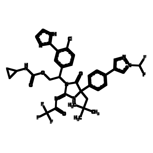 CC(C)(C)CC1(c2ccc(-c3cnn(C(F)F)c3)cc2)NC(=NC(=O)C(F)(F)F)N(C(COC(=O)NC2CC2)c2ccc(Cl)c(-c3ncc[nH]3)c2)C1=O